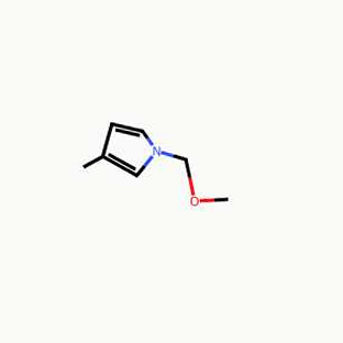 COCn1ccc(C)c1